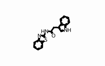 O=C(Cc1c[nH]c2ccccc12)Nc1nc2ccccc2s1